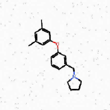 Cc1cc(C)cc(Oc2cccc(CN3CCCC3)c2)c1